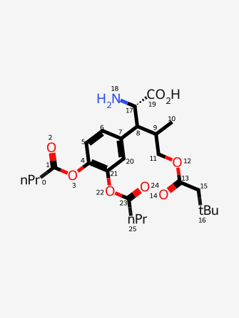 CCCC(=O)Oc1ccc(C(C(C)COC(=O)CC(C)(C)C)[C@H](N)C(=O)O)cc1OC(=O)CCC